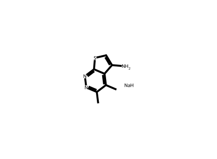 Cc1nnc2scc(N)c2c1C.[NaH]